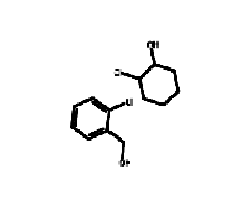 OC1CCCCC1Cl.OCc1ccccc1Cl